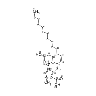 CCCCCCCCCCCC/C=C\C(Sc1ncn(C)c1C(=O)O)C(O)CCC(=O)O